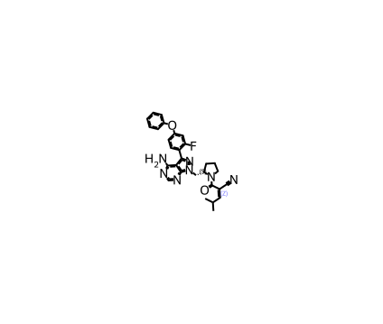 CC(C)/C=C(/C#N)C(=O)N1CCC[C@H]1Cn1nc(-c2ccc(Oc3ccccc3)cc2F)c2c(N)ncnc21